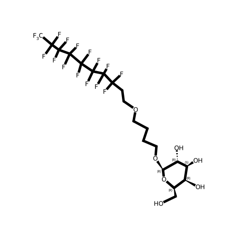 OC[C@H]1O[C@@H](OCCCCOCCC(F)(F)C(F)(F)C(F)(F)C(F)(F)C(F)(F)C(F)(F)C(F)(F)C(F)(F)F)[C@H](O)[C@@H](O)[C@H]1O